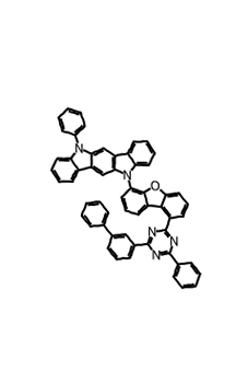 c1ccc(-c2cccc(-c3nc(-c4ccccc4)nc(-c4cccc5oc6c(-n7c8ccccc8c8cc9c(cc87)c7ccccc7n9-c7ccccc7)cccc6c45)n3)c2)cc1